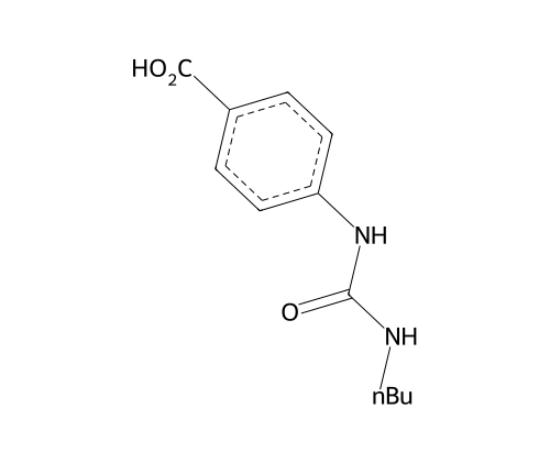 CCCCNC(=O)Nc1ccc(C(=O)O)cc1